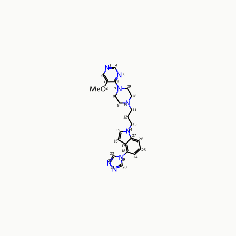 COc1cncnc1N1CCN(CCCn2ccc3c(-n4cnnc4)cccc32)CC1